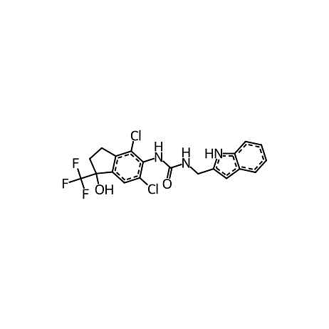 O=C(NCc1cc2ccccc2[nH]1)Nc1c(Cl)cc2c(c1Cl)CCC2(O)C(F)(F)F